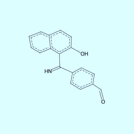 N=C(c1ccc(C=O)cc1)c1c(O)ccc2ccccc12